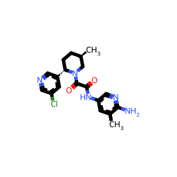 Cc1cc(NC(=O)C(=O)N2C[C@H](C)CC[C@H]2c2cncc(Cl)c2)cnc1N